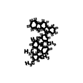 Cc1cc(C)c(B2c3ccccc3B(c3c(C)cc(-n4c5ccccc5c5ccc6c7ccccc7sc6c54)cc3C)c3ccccc32)c(C)c1